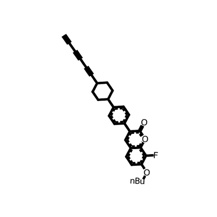 C#CC#CC#CC1CCC(c2ccc(-c3cc4ccc(OCCCC)c(F)c4oc3=O)cc2)CC1